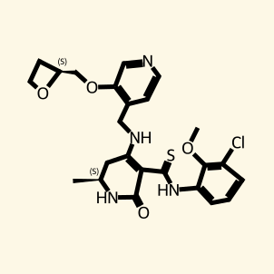 COc1c(Cl)cccc1NC(=S)C1=C(NCc2ccncc2OC[C@@H]2CCO2)C[C@H](C)NC1=O